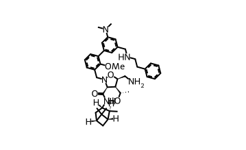 COc1c(CN2O[C@@H](CN)[C@@H]([C@H](C)O)[C@H]2C(=O)N[C@H]2C[C@H]3C[C@@H]([C@@H]2C)C3(C)C)cccc1-c1cc(CNCCc2ccccc2)cc(N(C)C)c1